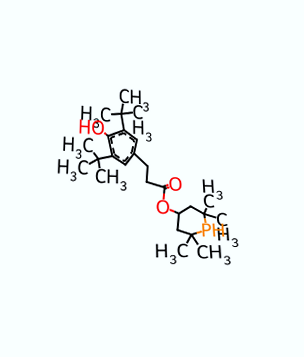 CC1(C)CC(OC(=O)CCc2cc(C(C)(C)C)c(O)c(C(C)(C)C)c2)CC(C)(C)P1